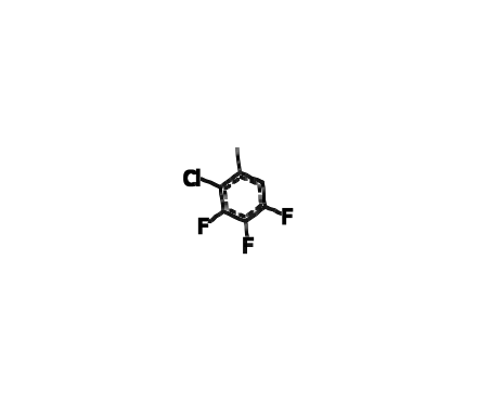 Cc1cc(F)c(F)c(F)c1Cl